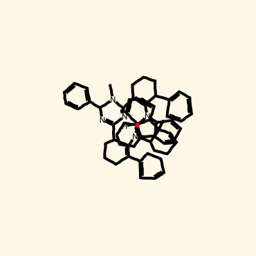 CN1C(C2=C(N3C4=C(CCCC4)C4C=CC=CC43)C(c3ccccc3)CCC2)=NC(C2CCCC(C3=CC=CCC3)=C2N2C3CCC=CC3(C)C3C=CC=C[C@H]32)=NC1c1ccccc1